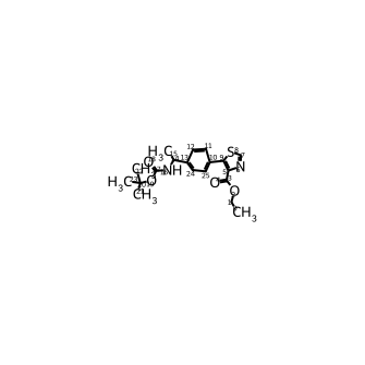 CCOC(=O)c1ncsc1-c1ccc(C(C)NC(=O)OC(C)(C)C)cc1